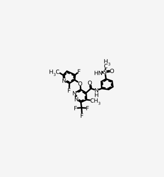 Cc1cc(F)c(Oc2nnc(C(F)(F)F)c(C)c2C(=O)Nc2cccc(S(C)(=N)=O)c2)c(F)n1